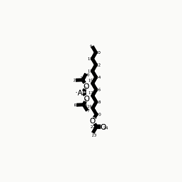 CC(C)[O][Al][O]C(C)C.CCCCCCCCCCCCOC(C)=O